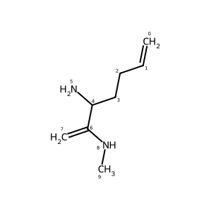 C=CCCC(N)C(=C)NC